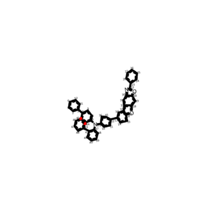 c1ccc(-c2ccc(N(c3ccc(-c4ccc5oc6cc7oc(-c8ccccc8)nc7cc6c5c4)cc3)c3ccccc3-c3ccccc3)cc2)cc1